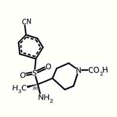 C[C@](N)(C1CCN(C(=O)O)CC1)S(=O)(=O)c1ccc(C#N)cc1